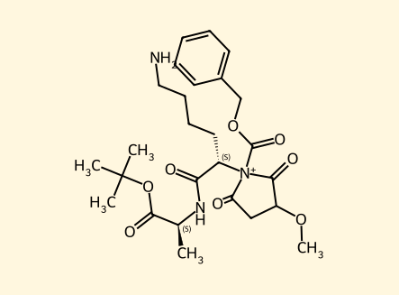 COC1CC(=O)[N+](C(=O)OCc2ccccc2)([C@@H](CCCCN)C(=O)N[C@@H](C)C(=O)OC(C)(C)C)C1=O